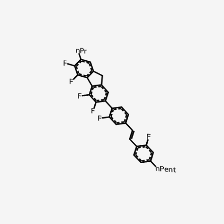 CCCCCc1ccc(C=Cc2ccc(-c3cc4c(c(F)c3F)-c3c(cc(CCC)c(F)c3F)C4)c(F)c2)c(F)c1